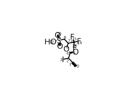 C#CC(I)C(=O)OC(CS(=O)(=O)O)C(F)(F)F